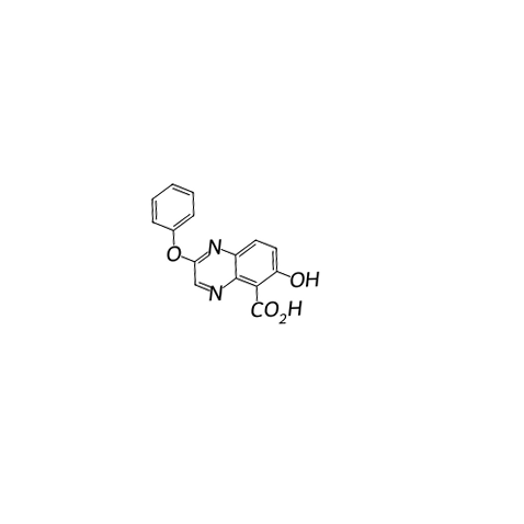 O=C(O)c1c(O)ccc2nc(Oc3ccccc3)cnc12